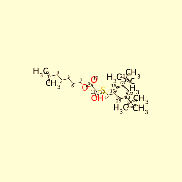 CC(C)CCCCCOC(=O)C(O)SCc1cc(C(C)(C)C)cc(C(C)(C)C)c1